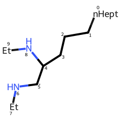 CCCCCCCCCCC([CH]NCC)NCC